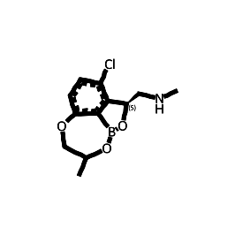 CNC[C@H]1OB2OC(C)COc3ccc(Cl)c1c32